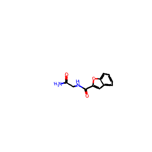 NC(=O)CNC(=O)c1cc2ccccc2o1